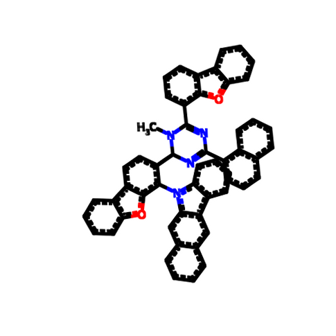 CN1C(c2cccc3c2oc2ccccc23)=NC(c2cccc3ccccc23)=NC1c1ccc2c(oc3ccccc32)c1-n1c2ccccc2c2cc3ccccc3cc21